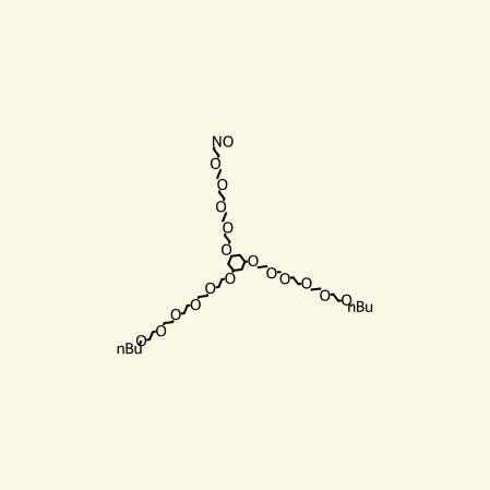 CCCCOCCOCCOCCOCCOCCOC1CC(OCCOCCOCCOCCOCCN=O)CC(OCCOCOCCOCCOCCOCCCC)C1